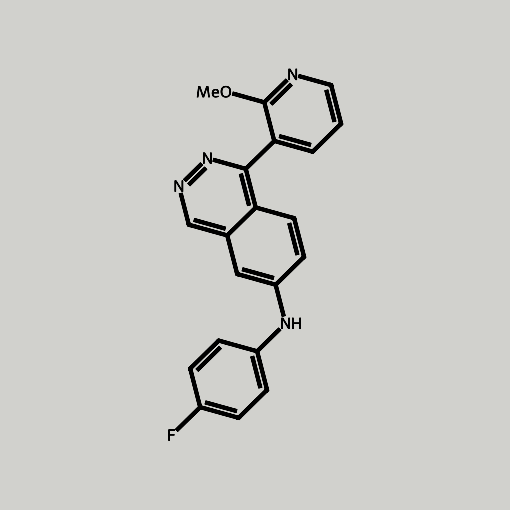 COc1ncccc1-c1nncc2cc(Nc3ccc(F)cc3)ccc12